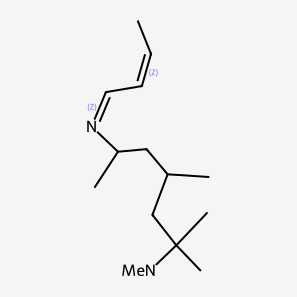 C/C=C\C=N/C(C)CC(C)CC(C)(C)NC